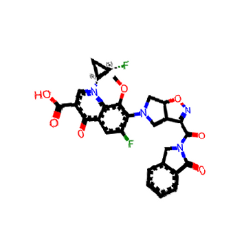 COc1c(N2CC3ON=C(C(=O)N4Cc5ccccc5C4=O)C3C2)c(F)cc2c(=O)c(C(=O)O)cn([C@@H]3C[C@@H]3F)c12